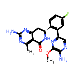 COc1nc(-c2cc(F)ccc2[C@H]2Cc3nc(N)nc(C)c3C(=O)N2)cnc1N